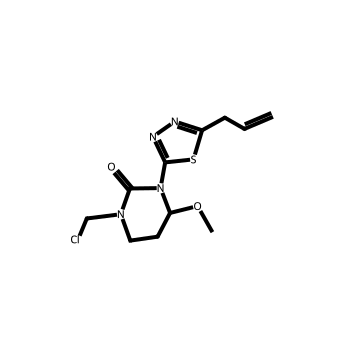 C=CCc1nnc(N2C(=O)N(CCl)CCC2OC)s1